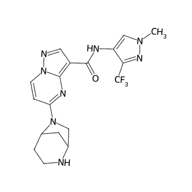 Cn1cc(NC(=O)c2cnn3ccc(N4CC5CC4CCN5)nc23)c(C(F)(F)F)n1